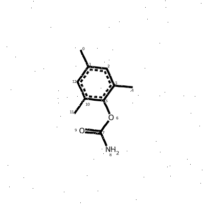 Cc1cc(C)c(OC(N)=O)c(C)c1